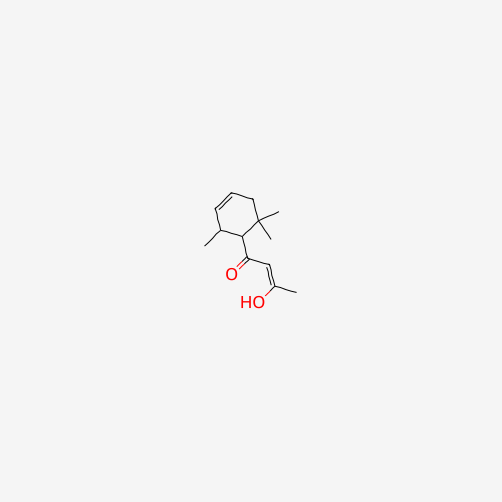 CC(O)=CC(=O)C1C(C)C=CCC1(C)C